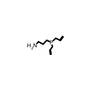 C=CCP(CC=C)CCCN